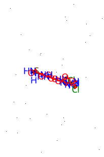 CC1CCC[C@H](n2cnc(-c3cc(Cl)ccc3-n3cc(Cl)nn3)cc2=O)c2cc(ccn2)-c2nn(CCOCCOCCOCCC(=O)NCCNC(=O)CCCCC3SCC4NC(=O)NC43)cc2NC1=O